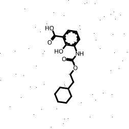 O=C(Nc1cccc(C(=O)O)c1O)OCCC1CCCCC1